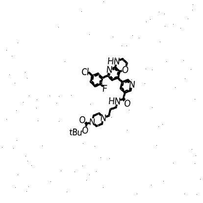 CC(C)(C)OC(=O)N1CCN(CCCNC(=O)c2cncc(-c3cc(-c4cc(Cl)ccc4F)nc4c3OCCN4)c2)CC1